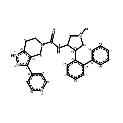 CN1CC(NC(=O)N2CCc3[nH]nc(-c4ccncc4)c3C2)[C@H](c2ccccc2-c2ccccc2)C1